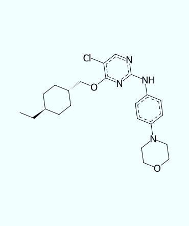 CC[C@H]1CC[C@H](COc2nc(Nc3ccc(N4CCOCC4)cc3)ncc2Cl)CC1